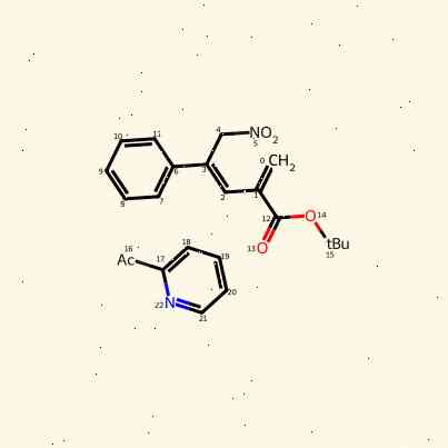 C=C(C=C(C[N+](=O)[O-])c1ccccc1)C(=O)OC(C)(C)C.CC(=O)c1ccccn1